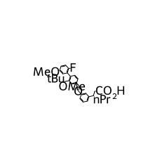 CCC[C@@H](CC(=O)O)c1cccc(OCc2ccc(-c3cc(OC)ccc3F)c([C@H](OC)C(C)(C)C)c2)c1